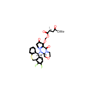 COC(=O)C[C@@H](C)C(=O)OCOc1c2n(ccc1=O)N([C@@H]1c3ccccc3SCc3c1ccc(F)c3F)[C@@H]1COCCN1C2=O